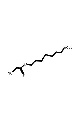 CCCCCCCCCCCCCCCOC(=S)CC#N